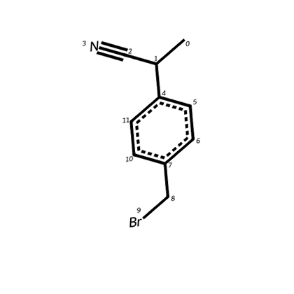 CC(C#N)c1ccc(CBr)cc1